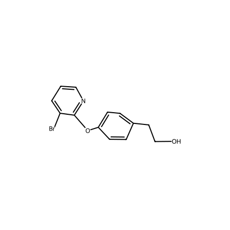 OCCc1ccc(Oc2ncccc2Br)cc1